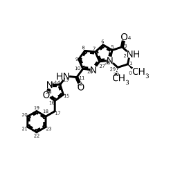 C[C@@H]1NC(=O)c2cc3ccc(C(=O)Nc4cc(Cc5ccccc5)on4)nc3n2[C@H]1C